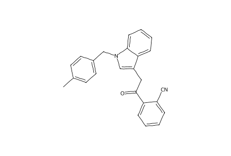 Cc1ccc(Cn2cc(CC(=O)c3ccccc3C#N)c3ccccc32)cc1